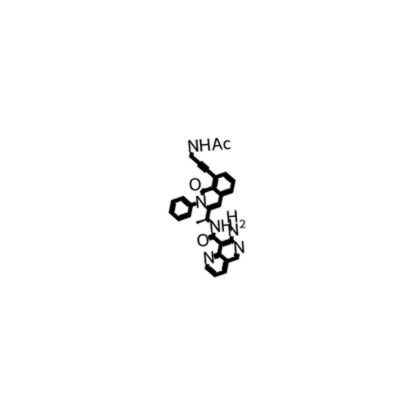 CC(=O)NCC#Cc1cccc2cc([C@H](C)NC(=O)c3c(N)ncc4cccnc34)n(-c3ccccc3)c(=O)c12